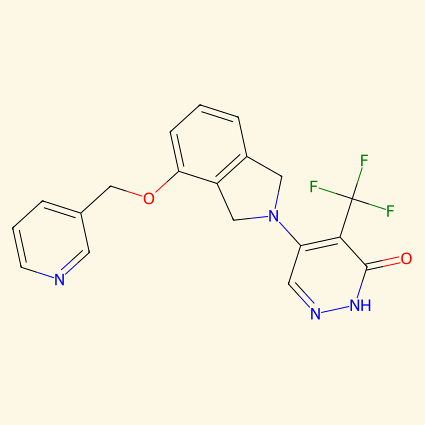 O=c1[nH]ncc(N2Cc3cccc(OCc4cccnc4)c3C2)c1C(F)(F)F